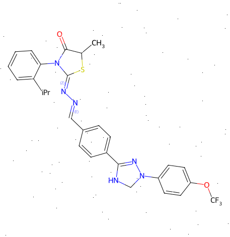 CC1S/C(=N\N=C\c2ccc(C3=NN(c4ccc(OC(F)(F)F)cc4)CN3)cc2)N(c2ccccc2C(C)C)C1=O